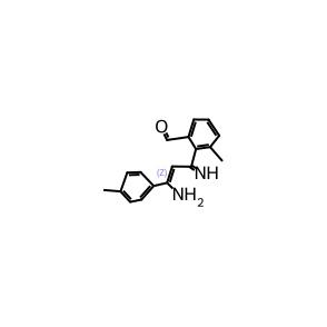 Cc1ccc(/C(N)=C/C(=N)c2c(C)cccc2C=O)cc1